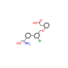 N[C@H](CO)c1cccc(-c2cc(Br)cc(COc3ccccc3CC(=O)O)c2)c1